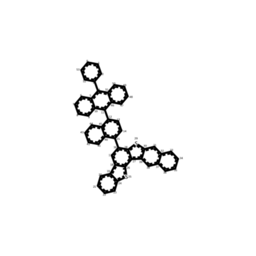 c1ccc(-c2c3ccccc3c(-c3ccc(-c4cc5c6ccccc6sc5c5c4sc4cc6ccccc6cc45)c4ccccc34)c3ccccc23)cc1